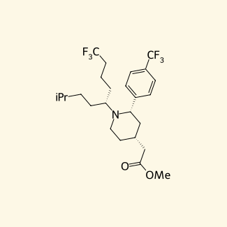 COC(=O)C[C@@H]1CCN([C@@H](CCCC(F)(F)F)CCC(C)C)[C@H](c2ccc(C(F)(F)F)cc2)C1